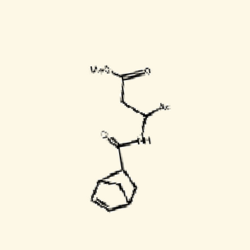 COC(=O)CC(NC(=O)C1CC2C=CC1C2)C(C)=O